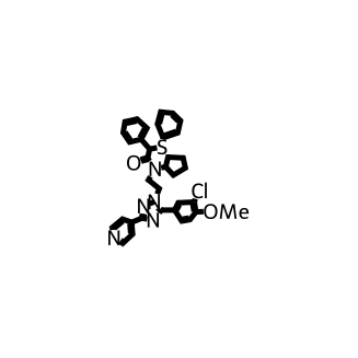 COc1ccc(-c2nc(-c3ccncc3)nn2CCN(C(=O)C(Sc2ccccc2)c2ccccc2)C2CCCC2)cc1Cl